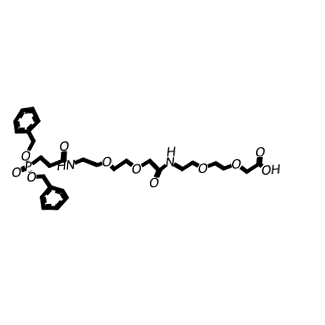 O=C(O)COCCOCCNC(=O)COCCOCCNC(=O)CCP(=O)(OCc1ccccc1)OCc1ccccc1